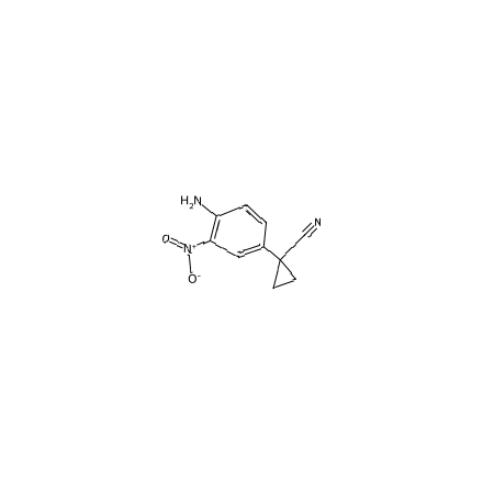 N#CC1(c2ccc(N)c([N+](=O)[O-])c2)CC1